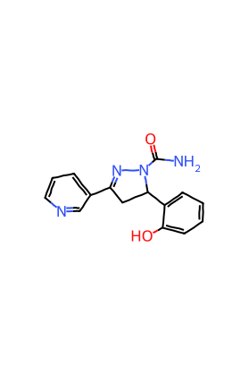 NC(=O)N1N=C(c2cccnc2)CC1c1ccccc1O